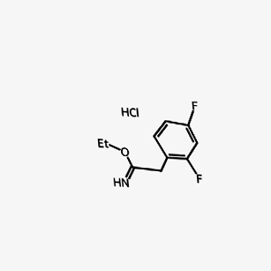 CCOC(=N)Cc1ccc(F)cc1F.Cl